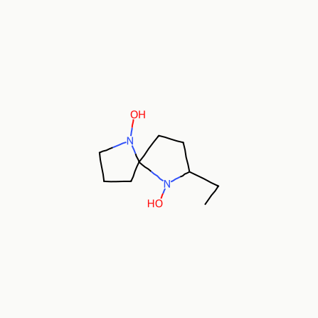 CCC1CCC2(CCCN2O)N1O